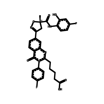 C[C@@]1(C(=O)Nc2ccc(F)cc2O)CC(c2ccc3c(=O)n(-c4ccc(F)cc4)c(CCCCC(=O)O)nc3c2)=NO1